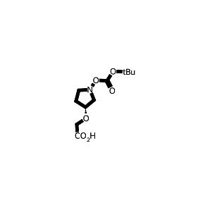 CC(C)(C)OC(=O)ON1CC[C@@H](OCC(=O)O)C1